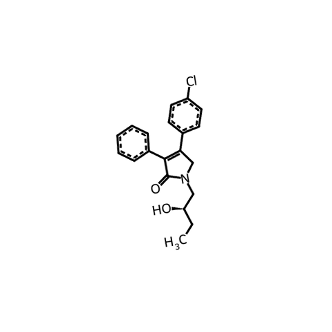 CC[C@@H](O)CN1CC(c2ccc(Cl)cc2)=C(c2ccccc2)C1=O